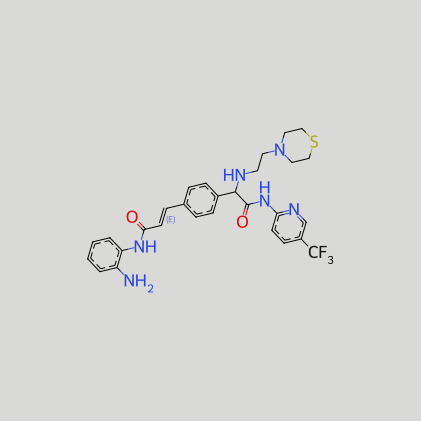 Nc1ccccc1NC(=O)/C=C/c1ccc(C(NCCN2CCSCC2)C(=O)Nc2ccc(C(F)(F)F)cn2)cc1